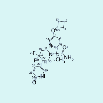 CC(C(N)=O)(c1ccc(OC2CCC2)cn1)N1CCC(F)(F)[C@@H](c2ccc(=O)[nH]c2)C1